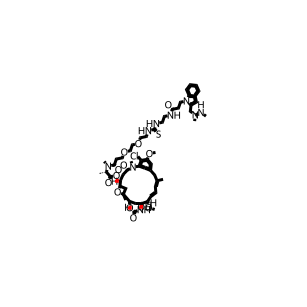 CNN(C)Cc1cc2ccccc2n1CCC(=O)NCCNC(=S)NCCOCCOCCC(=O)N(C)[C@@H](C)C(=O)O[C@H]1CC(=O)N(C)c2cc(cc(OC)c2Cl)C/C(C)=C/C=C/[C@@H](OC)[C@@]2(O)C[C@H](OC(=O)N2)C2(C)C[C@@]1(C)O2